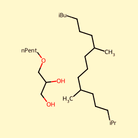 CCC(C)CCCC(C)CCCC(C)CCCC(C)C.CCCCCOCC(O)CO